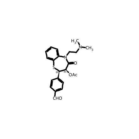 CC(=O)O[C@@H]1C(=O)N(CCN(C)C)c2ccccc2S[C@@H]1c1ccc(C=O)cc1